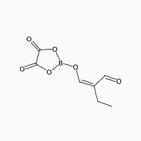 CCC(C=O)=COB1OC(=O)C(=O)O1